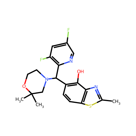 Cc1nc2c(O)c(C(c3ncc(F)cc3F)N3CCOC(C)(C)C3)ccc2s1